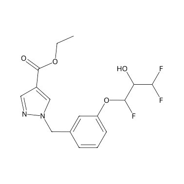 CCOC(=O)c1cnn(Cc2cccc(OC(F)C(O)C(F)F)c2)c1